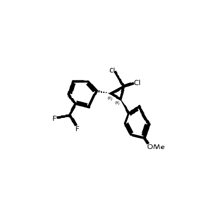 COc1ccc([C@H]2[C@H](c3cccc(C(F)F)c3)C2(Cl)Cl)cc1